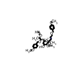 COc1ccc(COC/C=C/C(C)(C)[C@]2(OC)O[C@H](C[C@@H](OCc3ccc(OC)cc3)[C@@H](C)OB=N)C[C@H](O)[C@@H]2O)cc1